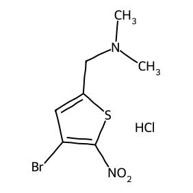 CN(C)Cc1cc(Br)c([N+](=O)[O-])s1.Cl